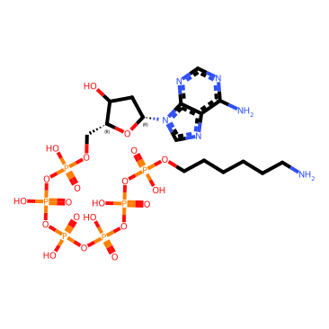 NCCCCCCOP(=O)(O)OP(=O)(O)OP(=O)(O)OP(=O)(O)OP(=O)(O)OP(=O)(O)OC[C@H]1O[C@@H](n2cnc3c(N)ncnc32)CC1O